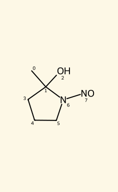 CC1(O)CCCN1N=O